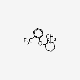 CN1CCCCC1Oc1ccccc1C(F)(F)F